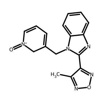 Cc1nonc1-c1nc2ccccc2n1CC1=CC=C[N+](=O)C1